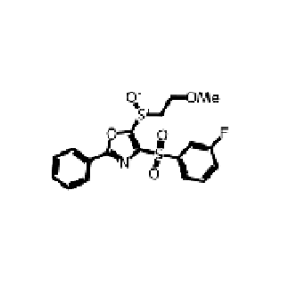 COCC[S+]([O-])c1oc(-c2ccccc2)nc1S(=O)(=O)c1cccc(F)c1